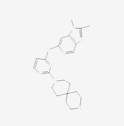 Cc1nc2cnc(Nc3ccnc(N4CCC5(CCNCC5)CC4)n3)cc2n1C(C)C